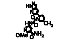 COc1ncc(NC(=O)C(=O)N2C[C@@H](C)CC[C@@H]2c2cnc3[nH]ncc3c2)cc1C(N)=O